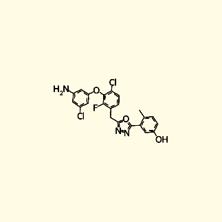 Cc1ccc(O)cc1-c1nnc(Cc2ccc(Cl)c(Oc3cc(N)cc(Cl)c3)c2F)o1